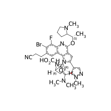 C[C@H](Oc1nc2c(F)c(Br)c(CCC#N)cc2c2c1cc(-c1cnn(C)c1C(=O)N(C)C)n2[C@H]1[C@@H]2C[C@H]1N(C(=O)O)C2)C1CCCN1C